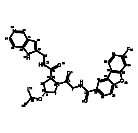 O=C(NCC(=O)N1C[C@H](OC(F)I)C[C@H]1C(=O)NCc1cc2cnccc2[nH]1)c1ccc2oc3cc(F)ccc3c2c1